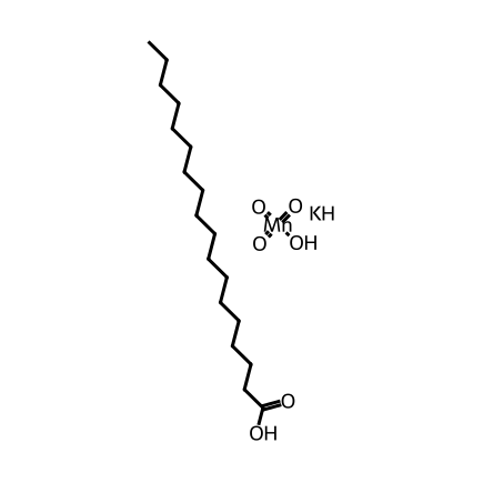 CCCCCCCCCCCCCCCCCC(=O)O.[KH].[O]=[Mn](=[O])(=[O])[OH]